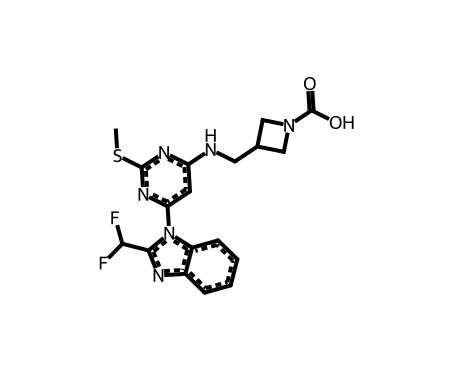 CSc1nc(NCC2CN(C(=O)O)C2)cc(-n2c(C(F)F)nc3ccccc32)n1